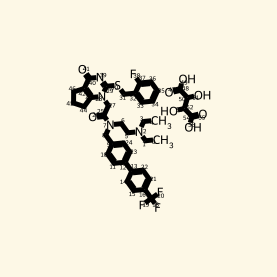 CCN(CC)CCN(Cc1ccc(-c2ccc(C(F)(F)F)cc2)cc1)C(=O)Cn1c(SCc2ccccc2F)nc(=O)c2c1CCC2.O=C(O)C(O)C(O)C(=O)O